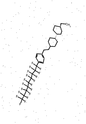 CC[C@H]1CC[C@H](C2CCC(CCc3ccc(C(F)(F)C(F)(F)C(F)(F)C(F)(F)C(F)(F)C(F)(F)C(F)(F)C(F)(F)C(F)(F)F)cc3)CC2)CC1